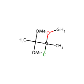 COC(C)(OC)[Si](C)(Cl)O[SiH3]